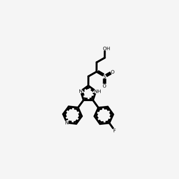 O=S(=O)=C(CCO)Cc1nc(-c2ccncc2)c(-c2ccc(F)cc2)[nH]1